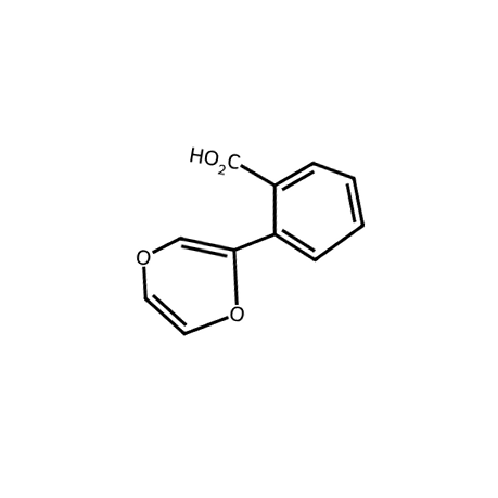 O=C(O)c1ccccc1C1=COC=CO1